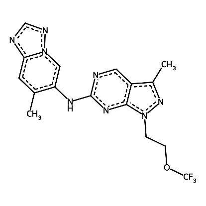 Cc1cc2ncnn2cc1Nc1ncc2c(C)nn(CCOC(F)(F)F)c2n1